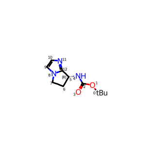 CC(C)(C)OC(=O)N[C@@H]1CCn2ccnc21